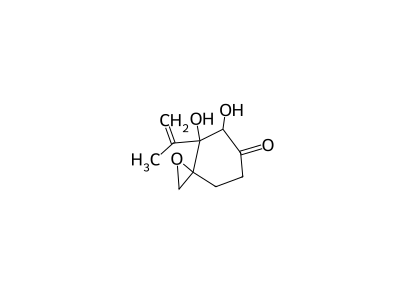 C=C(C)C1(O)C(O)C(=O)CCC12CO2